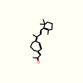 CC1=C(/C=C/C(C)=C2C=C/C(=C/C(=O)I)CCC\2)C(C)(C)CCC1